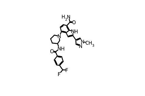 Cn1cc(-c2cc3c(N4CCCC(NC(=O)c5ccc(C(F)F)cc5)C4)ccc(C(N)=O)c3[nH]2)cn1